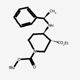 CCOC(=O)[C@@H]1CN(C(=O)OC(C)(C)C)CC[C@H]1N[C@H](C)c1ccccc1